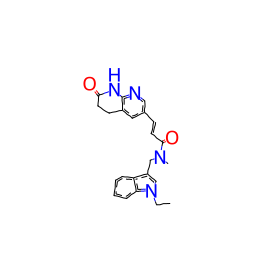 CCn1cc(CN(C)C(=O)C=Cc2cnc3c(c2)CCC(=O)N3)c2ccccc21